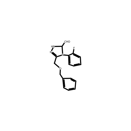 O=CC1NN=C(COCc2ccccc2)N1c1ccccc1F